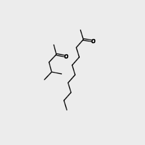 CC(=O)CC(C)C.CCCCCCCCC(C)=O